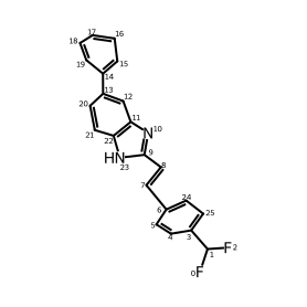 FC(F)c1ccc(C=Cc2nc3cc(-c4ccccc4)ccc3[nH]2)cc1